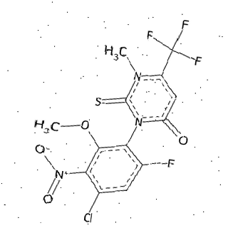 COc1c(-n2c(=O)cc(C(F)(F)F)n(C)c2=S)c(F)cc(Cl)c1[N+](=O)[O-]